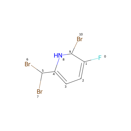 FC1=CC=C(C(Br)Br)NC1Br